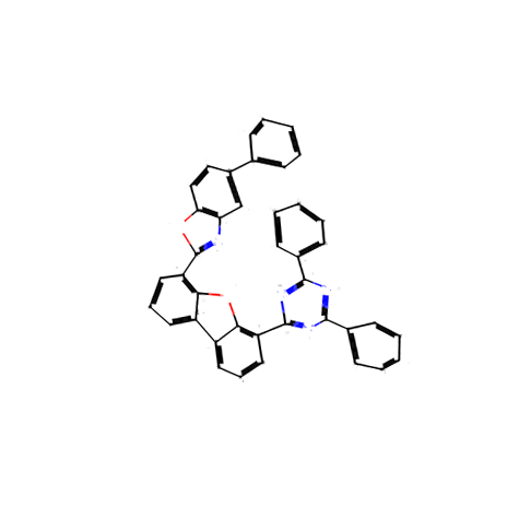 c1ccc(-c2ccc3oc(-c4cccc5c4oc4c(-c6nc(-c7ccccc7)nc(-c7ccccc7)n6)cccc45)nc3c2)cc1